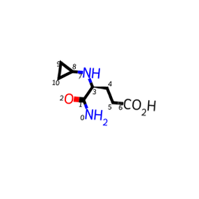 NC(=O)[C@H](CCC(=O)O)NC1CC1